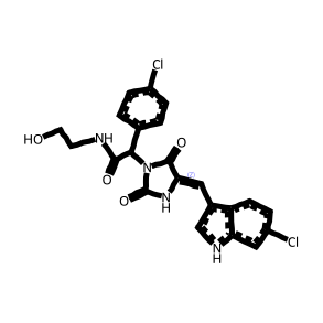 O=C(NCCO)C(c1ccc(Cl)cc1)N1C(=O)N/C(=C\c2c[nH]c3cc(Cl)ccc23)C1=O